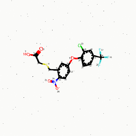 O=C(O)CSCc1cc(Oc2ccc(C(F)(F)F)cc2Cl)ccc1[N+](=O)[O-]